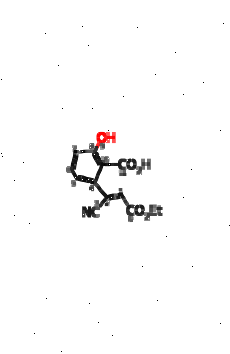 CCOC(=O)C=C(C#N)c1cccc(O)c1C(=O)O